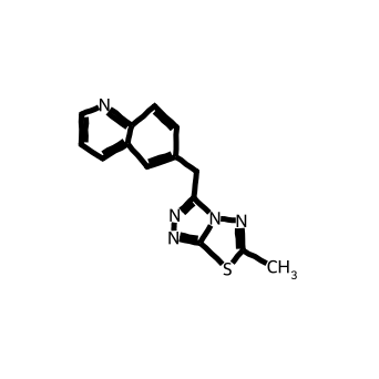 Cc1nn2c(Cc3ccc4ncccc4c3)nnc2s1